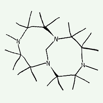 CN1C(C)(C)C(C)(C)[N@]2C[N@@](C(C)(C)C(C)(C)N(C)C(C)(C)C2(C)C)C(C)(C)C1(C)C